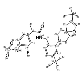 CC(C(=O)NCc1ccc(C(F)(F)F)nc1N1CCC2(CC1)CC(C(C)(C)C)=NO2)c1ccc(NS(C)(=O)=O)c(F)c1